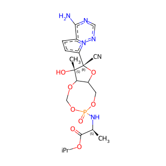 CC(C)OC(=O)[C@H](C)NP1(=O)OCOC2C(CO1)O[C@@](C#N)(c1ccc3c(N)ncnn13)[C@@]2(C)O